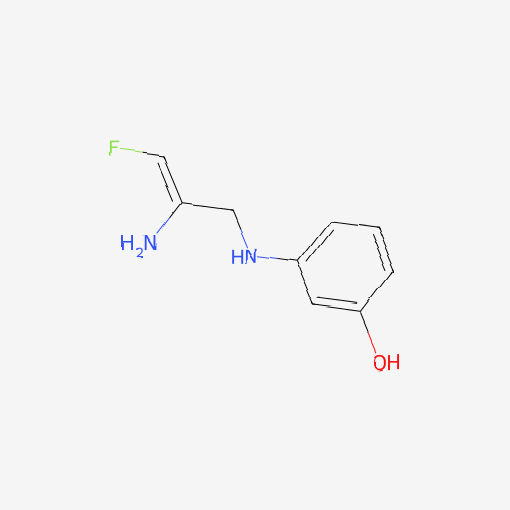 NC(=CF)CNc1cccc(O)c1